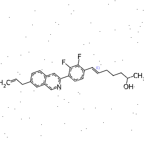 C=CCc1ccc2cc(-c3ccc(/C=C/CCCC(C)O)c(F)c3F)ncc2c1